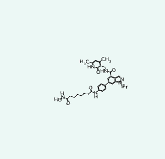 Cc1cc(C)c(CNC(=O)c2cc(-c3ccc(NC(=O)CCCCCCC(=O)NO)cc3)cc3c2cnn3C(C)C)c(=O)[nH]1